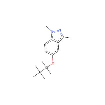 Cc1nn(C)c2ccc(O[Si](C)(C)C(C)(C)C)cc12